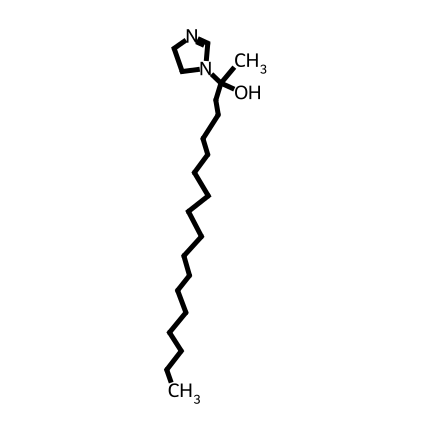 CCCCCCCCCCCCCCCCC(C)(O)N1C=NCC1